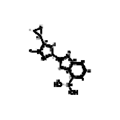 Cn1nc(-n2cc3c(B(O)O)cccc3n2)cc1C1CC1